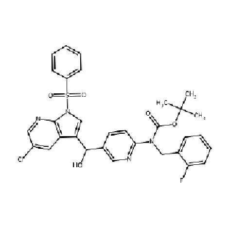 CC(C)(C)OC(=O)N(Cc1ccccc1F)c1ccc(C(O)c2cn(S(=O)(=O)c3ccccc3)c3ncc(Cl)cc23)cn1